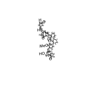 COc1nc(-c2cccc(-c3cccc(-c4cc5c(=O)n(C)c(CNC[C@H]6CNC(=O)C6)nn5c4)c3Cl)c2Cl)ccc1CN(C[C@@H]1CCC(=O)N1)C(=O)O